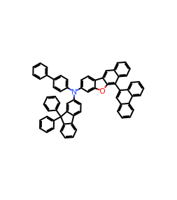 c1ccc(-c2ccc(N(c3ccc4c(c3)C(c3ccccc3)(c3ccccc3)c3ccccc3-4)c3ccc4c(c3)oc3c(-c5cc6ccccc6c6ccccc56)c5ccccc5cc34)cc2)cc1